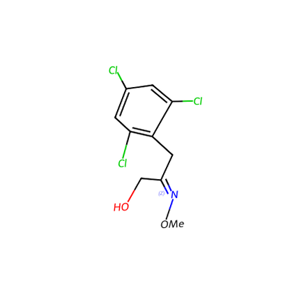 CO/N=C(\CO)Cc1c(Cl)cc(Cl)cc1Cl